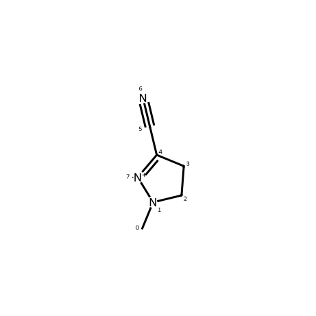 CN1CCC(C#N)=[N+]1